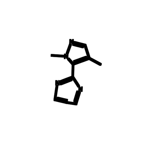 Cc1cnn(C)c1-c1ncccn1